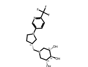 O[C@H]1[C@H](O)CN(C[C@@H]2CCN(c3ccc(C(F)(F)F)nc3)C2)C[C@@H]1O